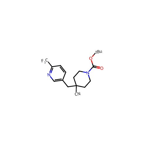 CC(C)(C)OC(=O)N1CCC(C#N)(Cc2ccc(C(F)(F)F)nc2)CC1